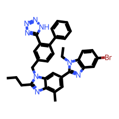 CCCc1nc2c(C)cc(-c3nc4cc(Br)ccc4n3CC)cc2n1Cc1ccc(-c2ccccc2)c(-c2nnn[nH]2)c1